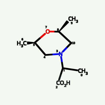 CC(C(=O)O)N1C[C@@H](C)O[C@@H](C)C1